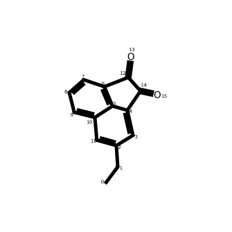 CCc1cc2c3c(cccc3c1)C(=O)C2=O